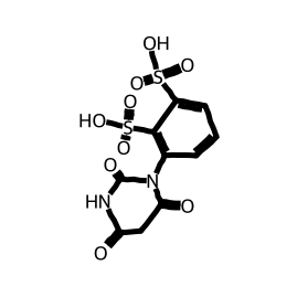 O=C1CC(=O)N(c2cccc(S(=O)(=O)O)c2S(=O)(=O)O)C(=O)N1